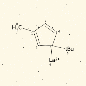 CC1=C[C]([La+2])(C(C)(C)C)C=C1